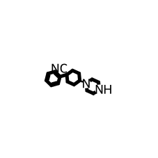 N#C[C@]1(c2ccccc2)CC[C@H](N2CCNCC2)CC1